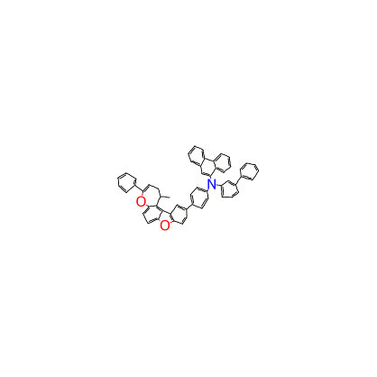 CC1CC=C(c2ccccc2)Oc2ccc3oc4ccc(-c5ccc(N(c6cccc(-c7ccccc7)c6)c6cc7ccccc7c7ccccc67)cc5)cc4c3c21